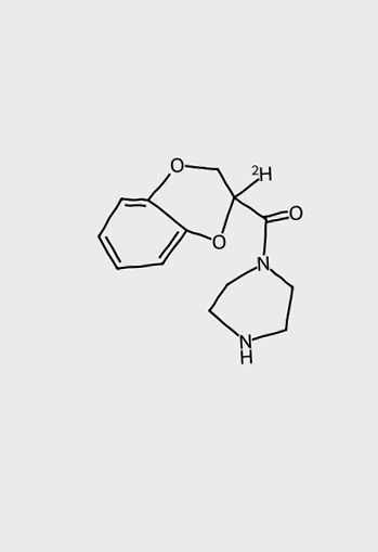 [2H]C1(C(=O)N2CCNCC2)COc2ccccc2O1